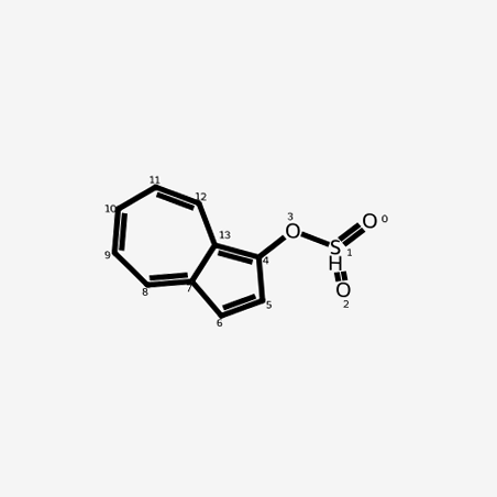 O=[SH](=O)Oc1ccc2cccccc1-2